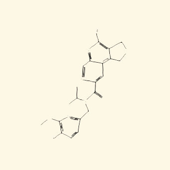 COc1nc(CN(C(=O)c2cc3c4c(c(N)nc3cn2)COC4)C(C)C)ccc1Cl